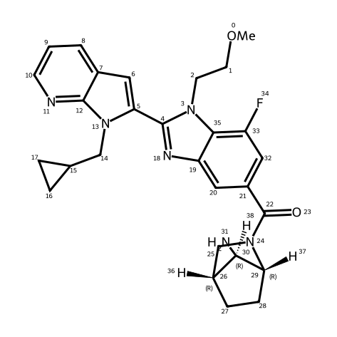 COCCn1c(-c2cc3cccnc3n2CC2CC2)nc2cc(C(=O)N3C[C@H]4CC[C@@H]3[C@@H]4N)cc(F)c21